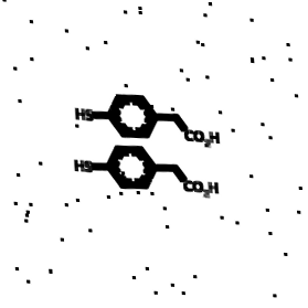 O=C(O)Cc1ccc(S)cc1.O=C(O)Cc1ccc(S)cc1